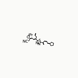 C=CC/C(=C\C=C(/CC#N)OC(C)C)c1nnc(C(=C)/C=C\C=C2CCCC2)s1